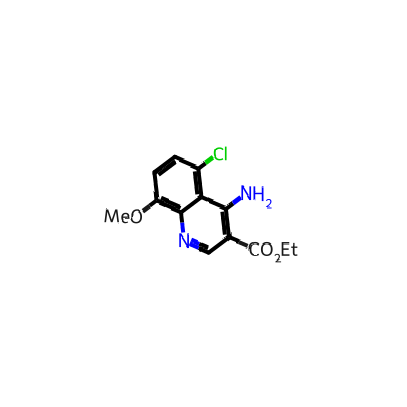 CCOC(=O)c1cnc2c(OC)ccc(Cl)c2c1N